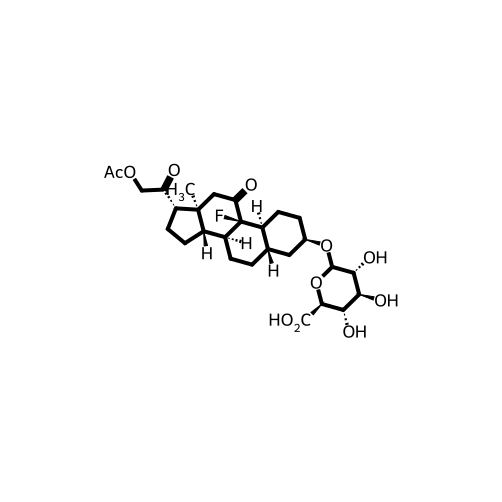 CC(=O)OCC(=O)[C@H]1CC[C@H]2[C@@H]3CC[C@H]4C[C@H](OC5O[C@H](C(=O)O)[C@@H](O)[C@H](O)[C@H]5O)CC[C@@H]4[C@@]3(F)C(=O)C[C@]12C